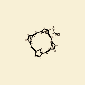 C1=CC2=NC1=CC1=NC(=CC3=NC(=CC4=NC(=C2)C=C4)C=C3)C=C1.ClCCl